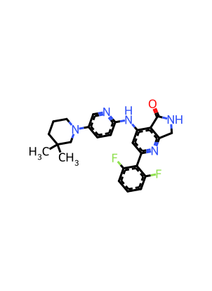 CC1(C)CCCN(c2ccc(Nc3cc(-c4c(F)cccc4F)nc4c3C(=O)NC4)nc2)C1